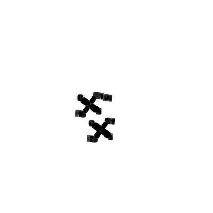 O=S(O)(O)=S.O=S(O)(O)=S.[KH]